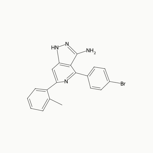 Cc1ccccc1-c1cc2[nH]nc(N)c2c(-c2ccc(Br)cc2)n1